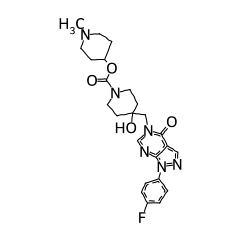 CN1CCC(OC(=O)N2CCC(O)(Cn3cnc4c(cnn4-c4ccc(F)cc4)c3=O)CC2)CC1